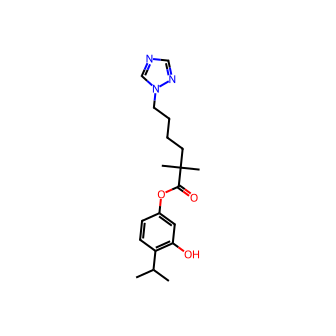 CC(C)c1ccc(OC(=O)C(C)(C)CCCCn2cncn2)cc1O